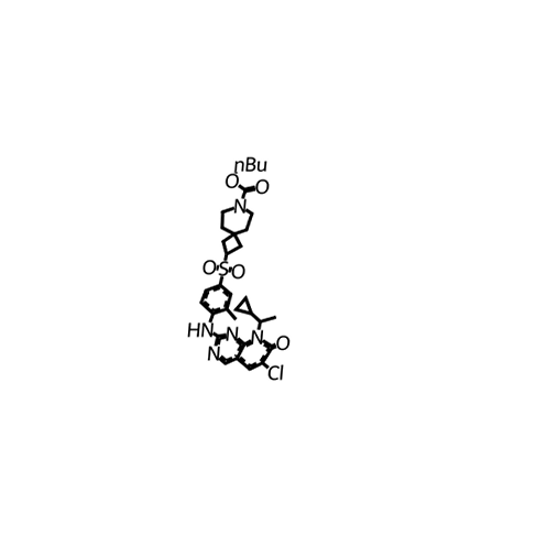 CCCCOC(=O)N1CCC2(CC1)CC(S(=O)(=O)c1ccc(Nc3ncc4cc(Cl)c(=O)n(C(C)C5CC5)c4n3)c(C)c1)C2